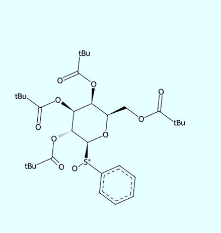 CC(C)(C)C(=O)OC[C@H]1O[C@@H]([S+]([O-])c2ccccc2)[C@H](OC(=O)C(C)(C)C)[C@@H](OC(=O)C(C)(C)C)[C@H]1OC(=O)C(C)(C)C